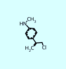 C=C(CCl)c1ccc(NC)cc1